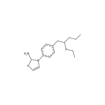 CCCC(Cc1ccc(N2C=COC2N)cc1)OCC